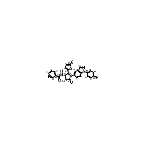 C[C@@H]1C(=O)N(c2ccc3c(cnn3-c3ccc(F)cc3)c2)C(c2ccc(Cl)s2)[C@H]1NC(=O)c1cccnc1